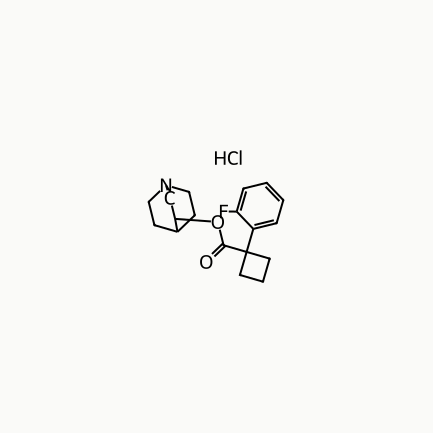 Cl.O=C(OC1CN2CCC1CC2)C1(c2ccccc2F)CCC1